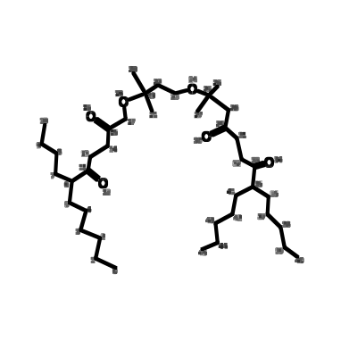 CCCCCCC(CCCC)C(=O)CCC(=O)COC(C)(C)CCOC(C)(C)CC(=O)CCC(=O)C(CCCCC)CCCCC